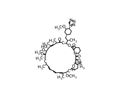 COC1C(=O)[C@@H](C)C[C@H](C)/C=C/C=C/C=C(\C)[C@@H](OC)C[C@@H]2CC[C@@H](C)[C@@](O)(O2)C(=O)C(=O)N2CCCC[C@H]2C(=O)O[C@H]([C@H](C)C[C@@H]2CC[C@H](n3cnnn3)[C@H](OC)C2)CC(=O)[C@H](C)/C=C(\C)[C@H]1O